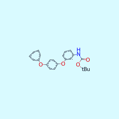 CC(C)(C)OC(=O)Nc1[c]c(Oc2ccc(Oc3ccccc3)cc2)ccc1